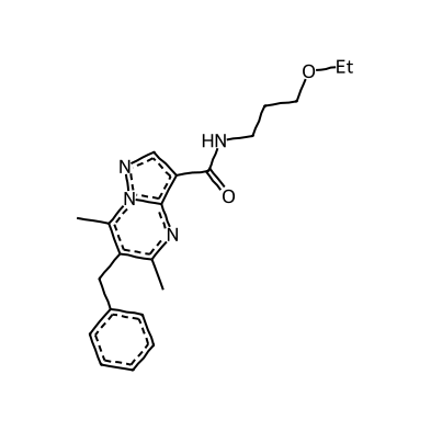 CCOCCCNC(=O)c1cnn2c(C)c(Cc3ccccc3)c(C)nc12